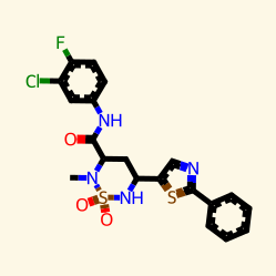 CN1C(C(=O)Nc2ccc(F)c(Cl)c2)CC(c2cnc(-c3ccccc3)s2)NS1(=O)=O